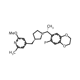 COc1cc(C[C@H]2CCN([C@H](C)c3cc4c(cc3F)OCCO4)C2)cc(C)n1